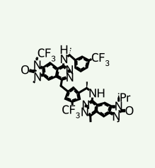 Cc1nnc(N[C@H](C)c2cc(Cc3nnc(N[C@H](C)c4cccc(C(F)(F)F)c4)c4cc5c(cc34)n(C)c(=O)n5CC(F)(F)F)cc(C(F)(F)F)c2)c2cc3c(cc12)n(C)c(=O)n3C(C)C